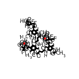 CC(=O)Nc1c(I)c(NC(=O)CCC(=O)N(C)c2c(I)c(NC(=O)CCC(=O)N(C)c3c(I)c(C(=O)OC(CS(=O)(=O)O)(C(F)(F)F)C(F)(F)F)c(I)c(N(C)C(C)=O)c3I)c(I)c(C(=O)OC(CS(=O)(=O)O)(C(F)(F)F)C(F)(F)F)c2I)c(I)c(C(=O)OC(CS(=O)(=O)O)(C(F)(F)F)C(F)(F)F)c1I